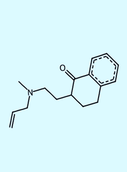 C=CCN(C)CCC1CCc2ccccc2C1=O